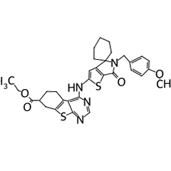 CCOC(=O)C1CCc2c(sc3ncnc(Nc4cc5c(s4)C(=O)N(Cc4ccc(OC)cc4)C54CCCCC4)c23)C1